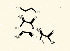 C#CC=C.C=C(C)C(=O)O.C=C(C)C(=O)O.OCCO